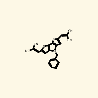 N#CC(C#N)=Cc1cc2c(s1)c1sc(C=C(C#N)C#N)cc1n2Cc1ccccc1